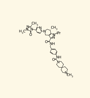 Cc1nn(C)c(=O)n1-c1ccc(N2Cc3c(C(=O)NCc4ccc(NC(=O)N5CCC6(CCN(C)CC6)CC5)cc4)nn(C(C)C)c3[C@@H](C)C2)nc1